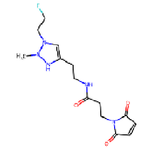 CN1NC(CCNC(=O)CCN2C(=O)C=CC2=O)=CN1CCF